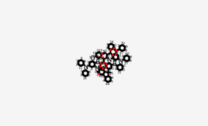 CCNc1cc(N(c2ccccc2)c2ccccc2)cc2c1B([C@H](C)C(C)Sc1cc3c(cc1C1(C)c4ccccc4-c4ccccc41)B1c4ccccc4N(c4ccccc4)c4cc(C(c5ccccc5)c5ccccc5)cc(c41)N3C1=C(C3C=CC=CC3)C=CCC1C1=CCCC=C1)c1ccccc1O2